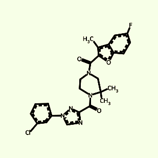 Cc1c(C(=O)N2CCN(C(=O)c3ncn(-c4cccc(Cl)c4)n3)C(C)(C)C2)oc2ccc(F)cc12